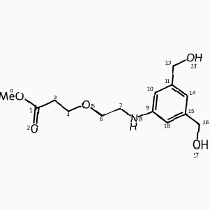 COC(=O)CCOCCNc1cc(CO)cc(CO)c1